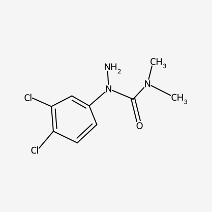 CN(C)C(=O)N(N)c1ccc(Cl)c(Cl)c1